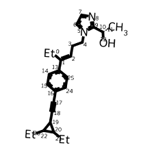 CC/C(=C\CCn1ccnc1[C@H](C)O)c1ccc(C#CC2C(CC)C2CC)cc1